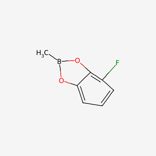 CB1Oc2cccc(F)c2O1